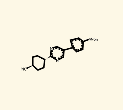 CCCCCCCCCc1ccc(-c2cnc([C@H]3CC[C@H](C#N)CC3)nc2)cc1